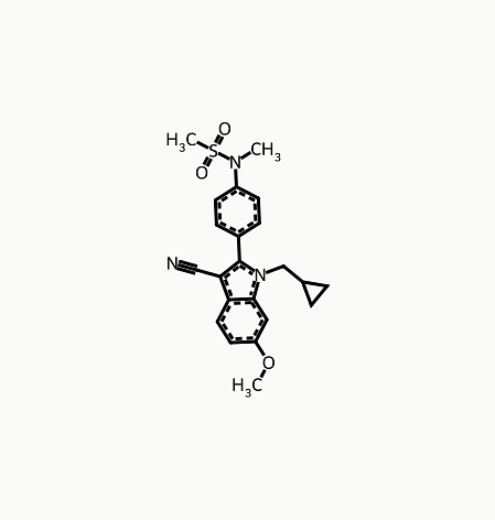 COc1ccc2c(C#N)c(-c3ccc(N(C)S(C)(=O)=O)cc3)n(CC3CC3)c2c1